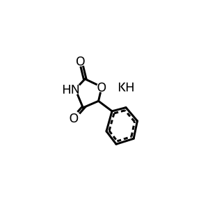 O=C1NC(=O)C(c2ccccc2)O1.[KH]